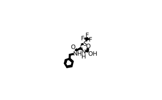 O=C(O)N[C@@H](CSC(F)(F)F)C(=O)NCc1ccccc1